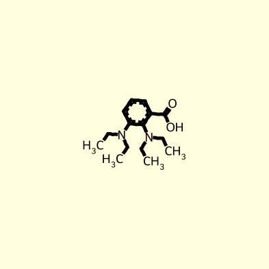 CCN(CC)c1cccc(C(=O)O)c1N(CC)CC